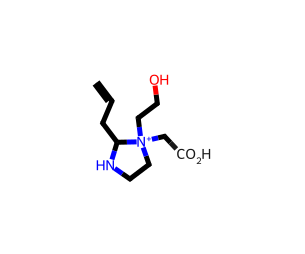 C=CCC1NCC[N+]1(CCO)CC(=O)O